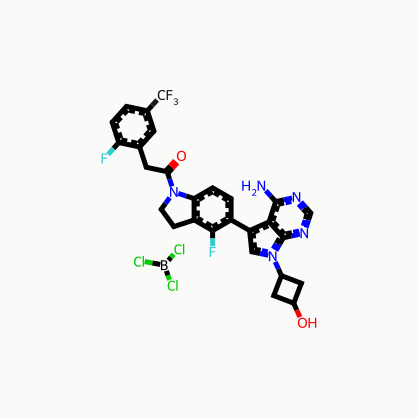 ClB(Cl)Cl.Nc1ncnc2c1c(-c1ccc3c(c1F)CCN3C(=O)Cc1cc(C(F)(F)F)ccc1F)cn2C1CC(O)C1